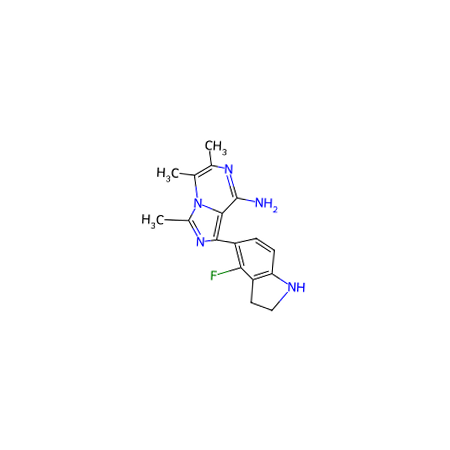 Cc1nc(N)c2c(-c3ccc4c(c3F)CCN4)nc(C)n2c1C